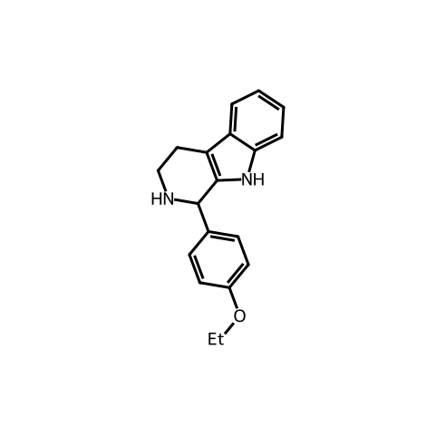 CCOc1ccc(C2NCCc3c2[nH]c2ccccc32)cc1